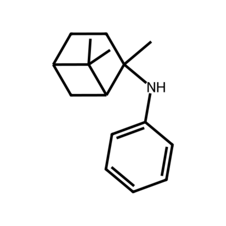 CC1(Nc2ccccc2)CCC2CC1C2(C)C